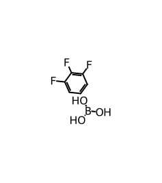 Fc1cccc(F)c1F.OB(O)O